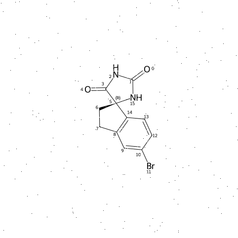 O=C1NC(=O)[C@]2(CCc3cc(Br)ccc32)N1